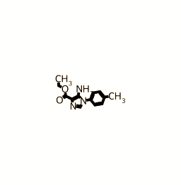 CCOC(=O)c1ncn(-c2ccc(C)cc2)c1N